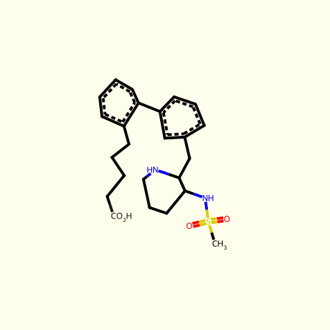 CS(=O)(=O)NC1CCCNC1Cc1cccc(-c2ccccc2CCCCC(=O)O)c1